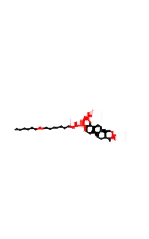 CCCCCCCCCCCCCCCCCC(=O)OC1CC(C)(C(=O)O)CC2C3=CCC4C5(C)CCC(C)(O)C(C)C5CCC4(C)C3(C)CCC12C